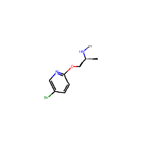 CCN[C@@H](C)COc1ccc(Br)cn1